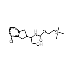 C[Si](C)(C)CCOC(=O)NC(CO)C1Cc2cccc(Cl)c2C1